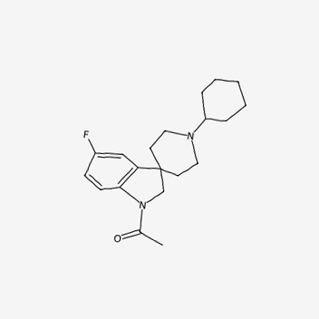 CC(=O)N1CC2(CCN(C3CCCCC3)CC2)c2cc(F)ccc21